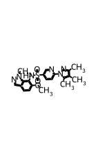 COc1ccc2cnn(C)c2c1NS(=O)(=O)c1ccc(-n2nc(C)c(C)c2C)nc1